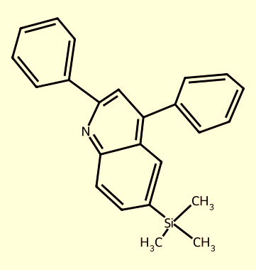 C[Si](C)(C)c1ccc2nc(-c3ccccc3)cc(-c3ccccc3)c2c1